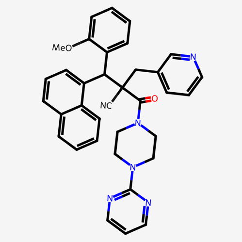 COc1ccccc1C(c1cccc2ccccc12)C(C#N)(Cc1cccnc1)C(=O)N1CCN(c2ncccn2)CC1